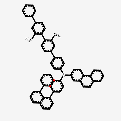 Cc1cc(-c2ccccc2)ccc1-c1ccc(-c2ccc(N(c3ccc(-c4cccc5cccc(-c6ccccc6)c45)cc3)c3ccc4c(ccc5ccccc54)c3)cc2)cc1C